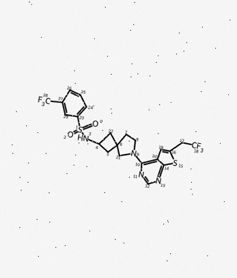 O=S(=O)(NC1CC2(CCN(c3ncnc4sc(CC(F)(F)F)cc34)C2)C1)c1cccc(C(F)(F)F)c1